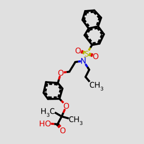 CCCN(CCOc1cccc(OC(C)(C)C(=O)O)c1)S(=O)(=O)c1ccc2ccccc2c1